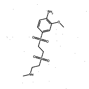 CNCCS(=O)(=O)CCS(=O)(=O)c1ccc(N)c(OC)c1